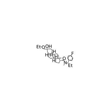 CCOC[C@@]1(O)CC[C@H]2[C@H](CC[C@@H]3[C@@H]2CC[C@]2(C)[C@@H](C(=O)N(C)[C@H](CC)c4ccc(F)cc4)CC[C@@H]32)C1